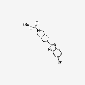 CC(C)(C)OC(=O)N1CC2CC(c3nc4cc(Br)ccc4s3)CC2C1